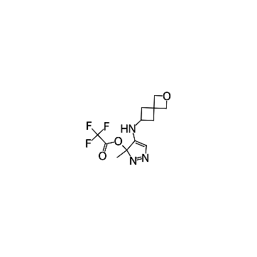 CC1(OC(=O)C(F)(F)F)N=NC=C1NC1CC2(COC2)C1